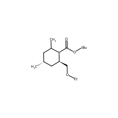 CCOC[C@H]1C[C@H](C)CC(C)N1C(=O)OC(C)(C)C